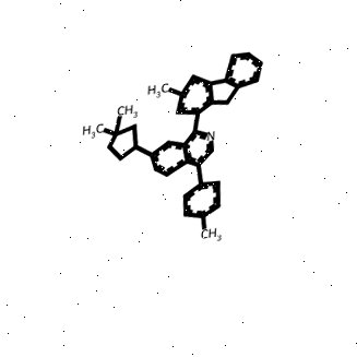 Cc1ccc(-c2cnc(-c3cc(C)cc4c3Cc3ccccc3-4)c3cc(C4CCC(C)(C)C4)ccc23)cc1